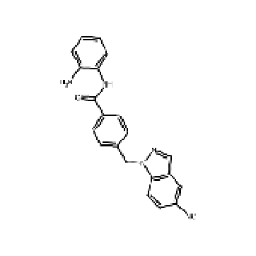 [C-]#[N+]c1ccc2c(cnn2Cc2ccc(C(=O)Nc3ccccc3N)cc2)c1